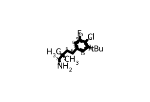 CC(C)(CN)CCc1cc(F)c(Cl)c(C(C)(C)C)c1